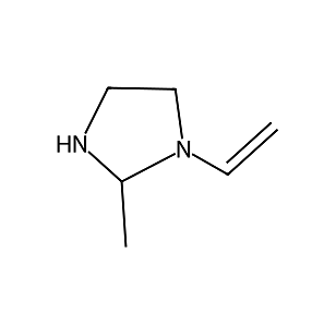 C=CN1CCNC1C